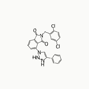 O=C1c2cccc(N3C=C(c4ccccc4)NN3)c2C(=O)N1Cc1cc(Cl)ccc1Cl